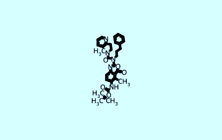 Cc1c(NC(=O)OC(C)(C)C)ccc2nc(N(CCCc3ccccc3)C(=O)N(C)CCc3ccccn3)oc(=O)c12